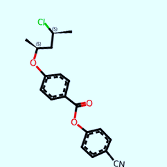 C[C@H](Cl)C[C@H](C)Oc1ccc(C(=O)Oc2ccc(C#N)cc2)cc1